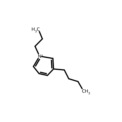 CCCCc1ccc[n+](CCC)c1